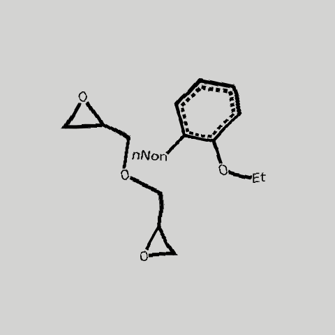 C(OCC1CO1)C1CO1.CCCCCCCCCc1ccccc1OCC